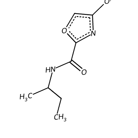 CCC(C)NC(=O)c1nc([O])co1